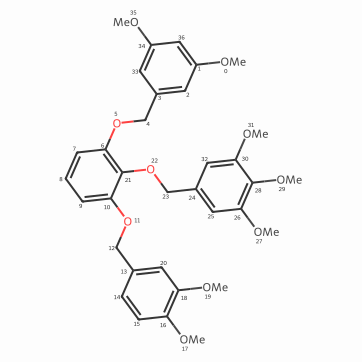 COc1cc(COc2cccc(OCc3ccc(OC)c(OC)c3)c2OCc2cc(OC)c(OC)c(OC)c2)cc(OC)c1